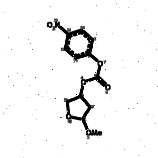 COC1CC(OC(=O)Oc2ccc([N+](=O)[O-])cc2)CO1